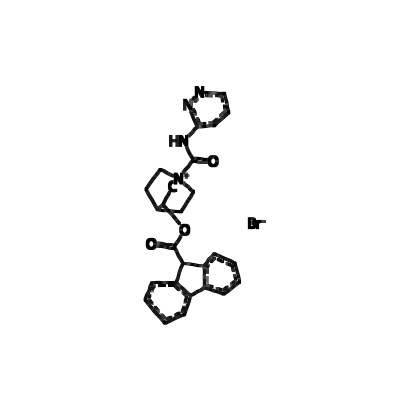 O=C(OC1C[N+]2(C(=O)Nc3cccnn3)CCC1CC2)C1c2ccccc2-c2ccccc21.[Br-]